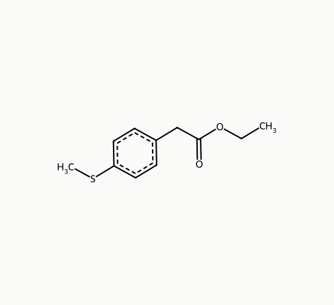 CCOC(=O)Cc1ccc(SC)cc1